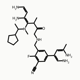 C/C(N)=C/C(=C\N)c1cc(C#N)c(F)c(CNCC(=O)C(C)/C(=C(N)\C=C/N)N(C)C(C)C2CCCC2)c1